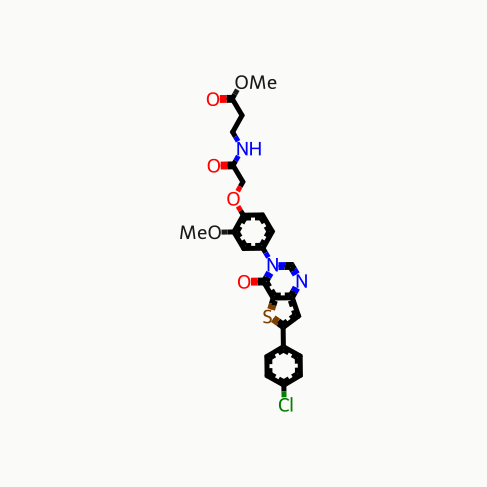 COC(=O)CCNC(=O)COc1ccc(-n2cnc3cc(-c4ccc(Cl)cc4)sc3c2=O)cc1OC